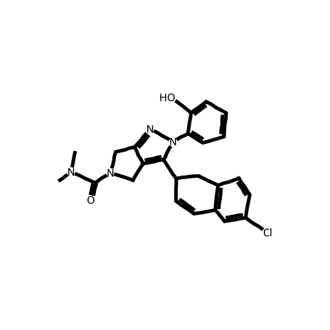 CN(C)C(=O)N1Cc2nn(-c3ccccc3O)c(C3C=Cc4cc(Cl)ccc4C3)c2C1